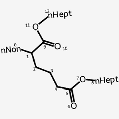 CCCCCCCCCC(CCCC(=O)OCCCCCCC)C(=O)OCCCCCCC